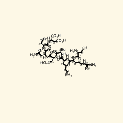 CC[C@H](C)[C@H](NC(=O)[C@H](CCCCN)NC(=O)[C@H](CCCNC(=N)N)NC(=O)[C@@H](N)CO)C(=O)N[C@@H](CC(=O)O)C(=O)N[C@@H](CC(N)=O)C(=O)N[C@@H](CC(C)C)C(=O)N[C@@H](CC(=O)O)C(=O)O